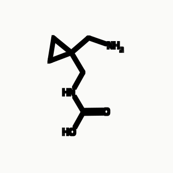 NCC1(CNC(=O)O)CC1